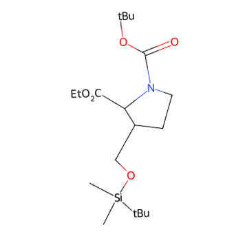 CCOC(=O)C1C(CO[Si](C)(C)C(C)(C)C)CCN1C(=O)OC(C)(C)C